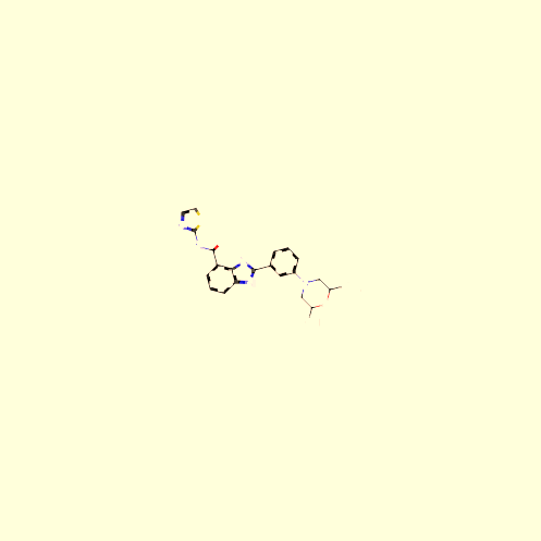 CC1CN(c2cccc(-c3nc4c(C(=O)Nc5nccs5)cccc4[nH]3)c2)CC(C)O1